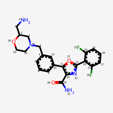 NCC1CN(Cc2cccc(-c3oc(-c4c(F)cccc4F)nc3C(N)=O)c2)CCO1